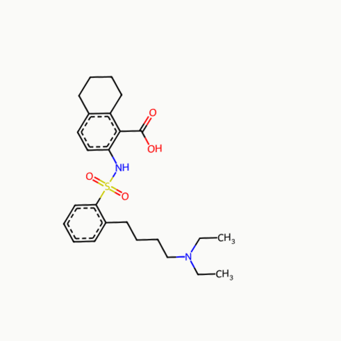 CCN(CC)CCCCc1ccccc1S(=O)(=O)Nc1ccc2c(c1C(=O)O)CCCC2